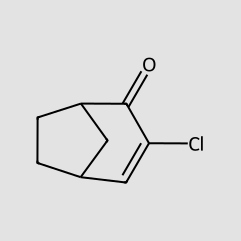 O=C1C(Cl)=CC2CCC1C2